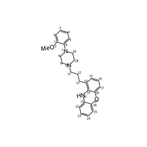 COc1ccccc1N1CCN(CCCc2cccc3c2Nc2ccccc2O3)CC1